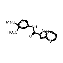 COc1ccc(NC(=O)c2cc3ncccn3n2)cc1C(=O)O